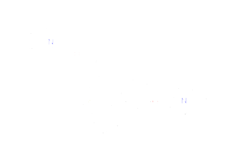 CC(C)(COc1ccc(Cc2c(-c3ccc(OCCN4CCCC4)cc3)sc3ccccc23)cc1)N1CCCC1